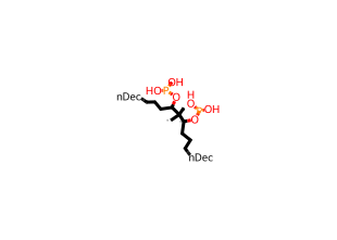 [CH2]C([CH2])([C](CCCCCCCCCCCCC)OP(O)O)C(CCCCCCCCCCCCC)OP(O)O